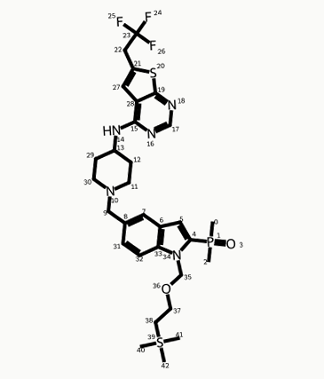 CP(C)(=O)c1cc2cc(CN3CCC(Nc4ncnc5sc(CC(F)(F)F)cc45)CC3)ccc2n1COCCS(C)(C)C